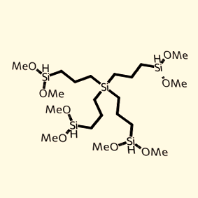 CO[SiH](CCC[Si](CCC[SiH](OC)OC)(CCC[SiH](OC)OC)CCC[SiH](OC)OC)OC